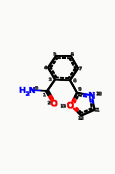 NC(=O)c1ccccc1-c1ncco1